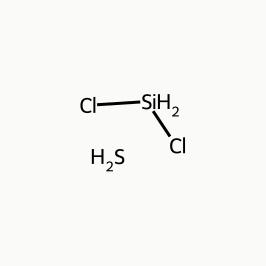 Cl[SiH2]Cl.S